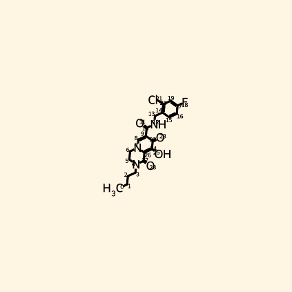 CCCCN1CCn2cc(C(=O)NCc3ccc(F)cc3Cl)c(=O)c(O)c2C1=O